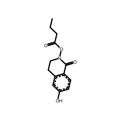 CCCC(=O)ON1CCc2cc(O)ccc2C1=O